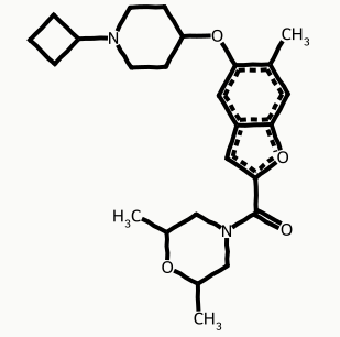 Cc1cc2oc(C(=O)N3CC(C)OC(C)C3)cc2cc1OC1CCN(C2CCC2)CC1